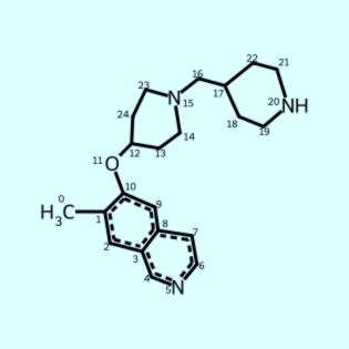 Cc1cc2cnccc2cc1OC1CCN(CC2CCNCC2)CC1